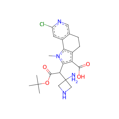 Cn1c2c(c(C(=O)O)c1C(C(=O)OC(C)(C)C)C1(N)CNC1)CCc1cnc(Cl)cc1-2